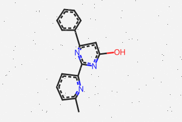 Cc1cccc(-c2nc(O)cc(-c3ccccc3)n2)n1